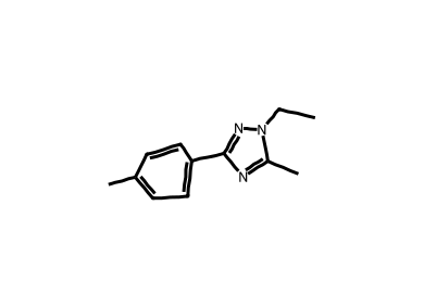 CCn1nc(-c2ccc(C)cc2)nc1C